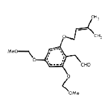 COCOc1cc(OCC=C(C)C)c(CC=O)c(OCOC)c1